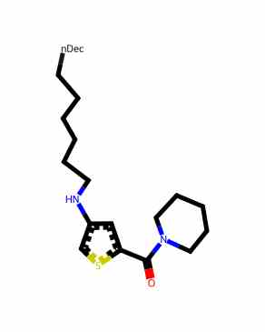 CCCCCCCCCCCCCCCCNc1csc(C(=O)N2CCCCC2)c1